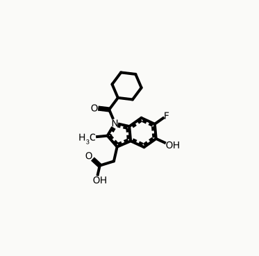 Cc1c(CC(=O)O)c2cc(O)c(F)cc2n1C(=O)C1CCCCC1